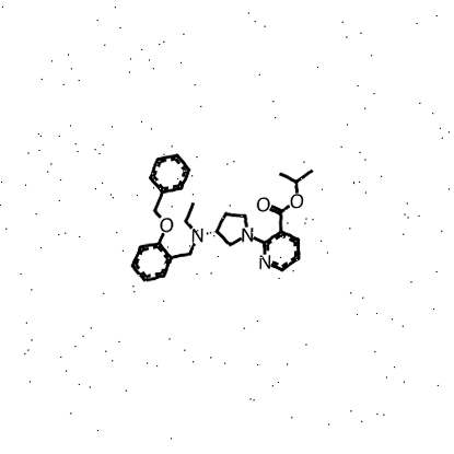 CCN(Cc1ccccc1OCc1ccccc1)[C@@H]1CCN(c2ncccc2C(=O)OC(C)C)C1